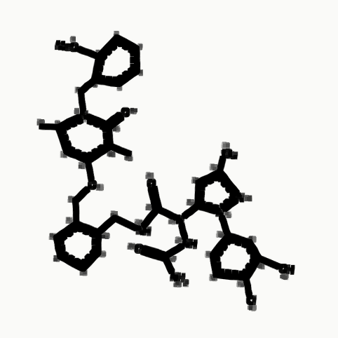 COc1ccccc1Cn1c(C)cc(OCc2ccccc2CNC(=O)N(NC(N)=O)c2cc(C(C)(C)C)nn2-c2ccc(Cl)c(O)c2)c(C)c1=O